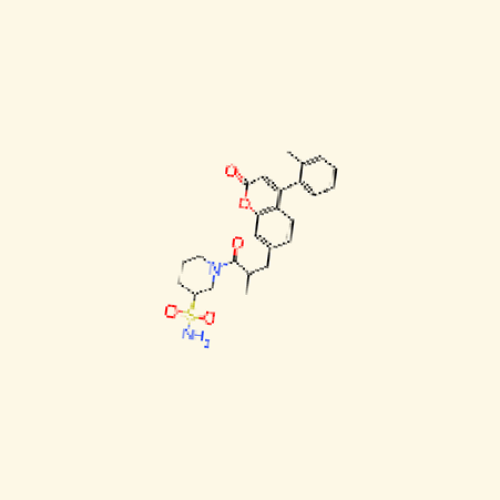 Cc1ccccc1-c1cc(=O)oc2cc(CC(C)C(=O)N3CCC[C@H](S(N)(=O)=O)C3)ccc12